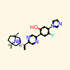 C=C(c1cnc(-c2cc(F)c(-n3ccnc3)cc2O)cn1)[C@@H]1C[C@]2(C)CC[C@](C)(C1)N2